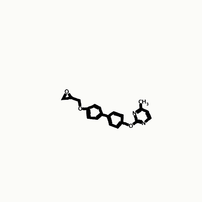 Cc1ccnc(Oc2ccc(-c3ccc(OCC4CO4)cc3)cc2)n1